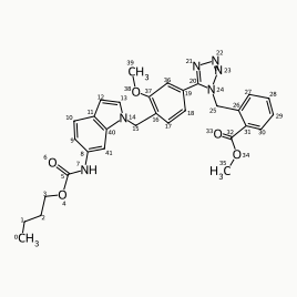 CCCCOC(=O)Nc1ccc2ccn(Cc3ccc(-c4nnnn4Cc4ccccc4C(=O)OC)cc3OC)c2c1